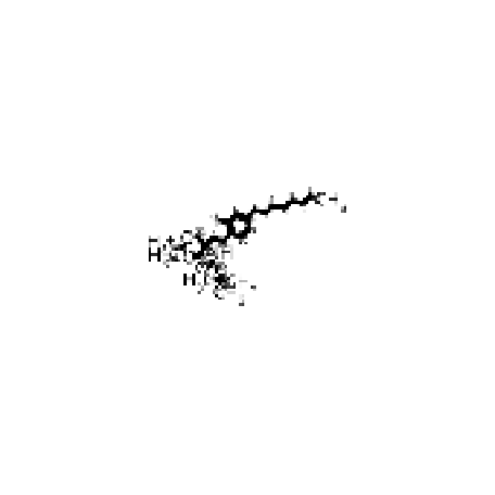 CCCCCCCCc1ccc(CCC2(NC(=O)OC(C)(C)C)COC(C)(C)OC2)c(I)c1